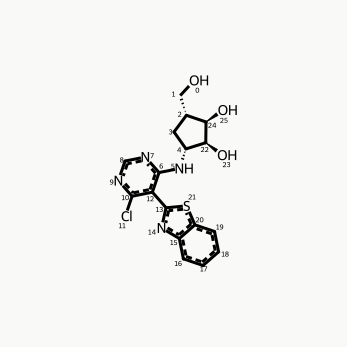 OC[C@H]1C[C@@H](Nc2ncnc(Cl)c2-c2nc3ccccc3s2)[C@H](O)[C@@H]1O